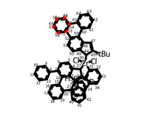 CC(C)(C)C1=Cc2c(ccc(-c3ccccc3)c2-c2ccccc2-c2ccccc2)[CH]1[Zr]([Cl])([Cl])([c]1cccc2c1[SiH2]c1ccccc1-2)[CH]1C(C(C)(C)C)=Cc2c1ccc(-c1ccccc1)c2-c1ccccc1-c1ccccc1